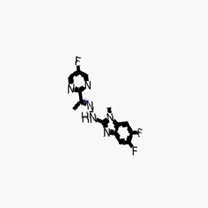 C/C(=N\Nc1nc2cc(F)c(F)cc2n1C)c1ncc(F)cn1